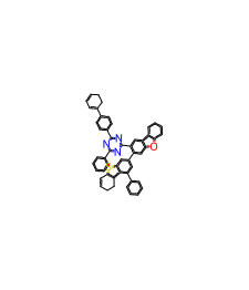 C1=CCCC(c2ccc(-c3nc(-c4ccccc4)nc(-c4cc5c(cc4-c4cc(-c6ccccc6)c6c7c(sc6c4)C=CCC7)oc4ccccc45)n3)cc2)=C1